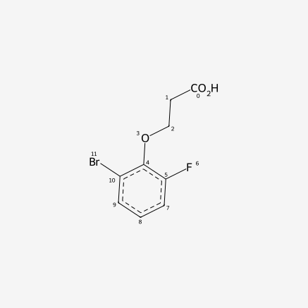 O=C(O)CCOc1c(F)cccc1Br